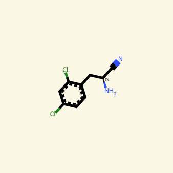 N#C[C@@H](N)Cc1ccc(Cl)cc1Cl